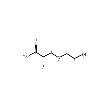 CC(C)(C)C(=O)[C@@H]([O])COCCS